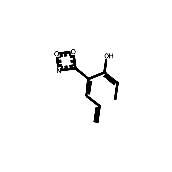 C=C/C=C(\C(O)=C/C)c1noo1